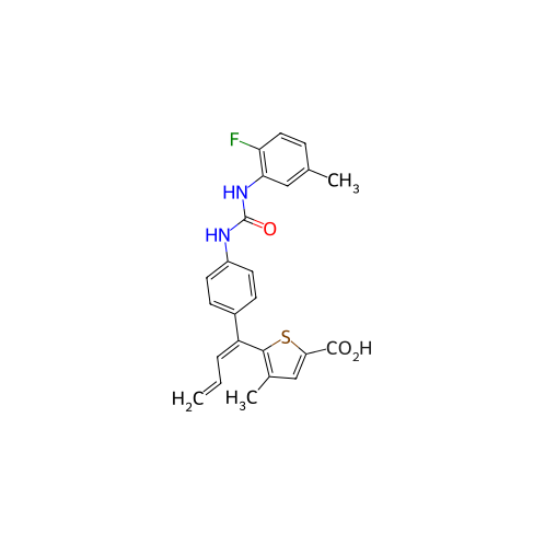 C=C/C=C(/c1ccc(NC(=O)Nc2cc(C)ccc2F)cc1)c1sc(C(=O)O)cc1C